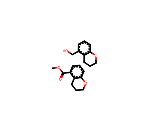 COC(=O)c1cccc2c1CCCO2.OCc1cccc2c1CCCO2